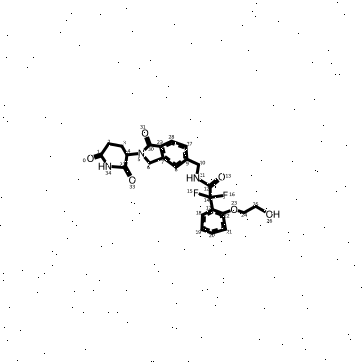 O=C1CCC(N2Cc3cc(CNC(=O)C(F)(F)c4ccccc4OCCO)ccc3C2=O)C(=O)N1